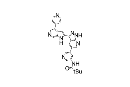 CC(C)(C)C(=O)Nc1cncc(-c2cnc3[nH]nc(-c4cc5c(-c6ccncc6)cncc5[nH]4)c3c2)c1